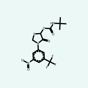 CC(C)(C)NC(=O)OC1SCN(c2cc([N+](=O)[O-])cc(C(F)(F)F)c2)C1=O